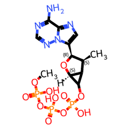 COP(=O)(O)OP(=O)(O)OP(=O)(O)OC1C2[C@@H]1O[C@@H](c1cnc3c(N)ncnn13)[C@H]2C